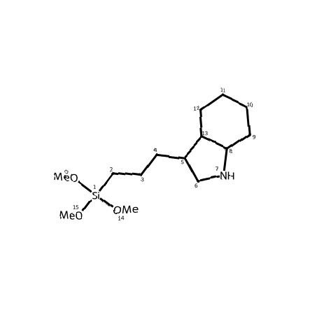 CO[Si](CCCC1CNC2CCCCC12)(OC)OC